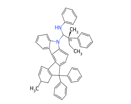 CC[C@@](C)(c1ccccc1)C(Nc1ccccc1)n1c2ccccc2c2c3c(ccc21)C(c1ccccc1)(c1ccccc1)C1=C3C=CC(C)C1